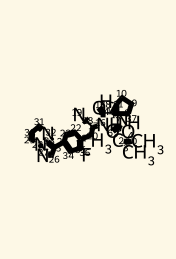 CC(C)(C)OC(=O)N1[C@@H]2CC[C@@H](C2)[C@H]1C(=O)N[C@H](C#N)Cc1ccc(-c2cnn3cccnc23)cc1F